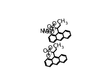 CCC(c1c2ccccc2cc2ccccc12)P(=O)([O-])[O-].CCC(c1c2ccccc2cc2ccccc12)P(=O)([O-])[O-].[Mg+2].[Mg+2]